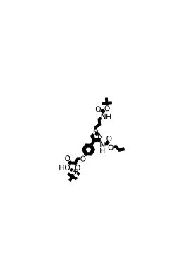 C=CCOC(=O)Nc1nn(CCCNC(=O)OC(C)(C)C)cc1-c1ccc(OCC(O[Si](C)(C)C(C)(C)C)C(=O)O)cc1